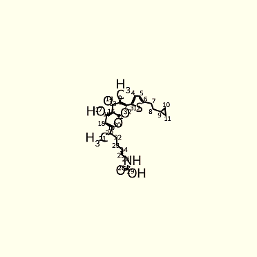 CC(=Cc1ccc(CCC2CC2)s1)C(=O)c1c(O)cc(C(C)CC/C=C/NC(=O)O)oc1=O